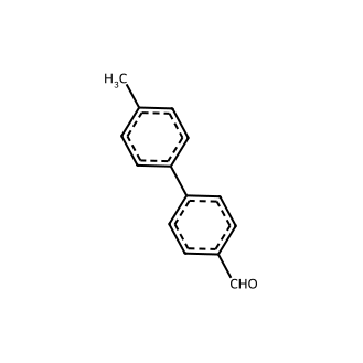 Cc1ccc(-c2ccc(C=O)cc2)cc1